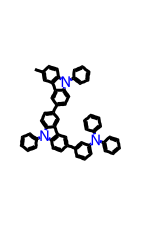 Cc1ccc2c(c1)c1cc(-c3ccc4c(c3)c3cc(-c5cccc(N(c6ccccc6)c6ccccc6)c5)ccc3n4-c3ccccc3)ccc1n2-c1ccccc1